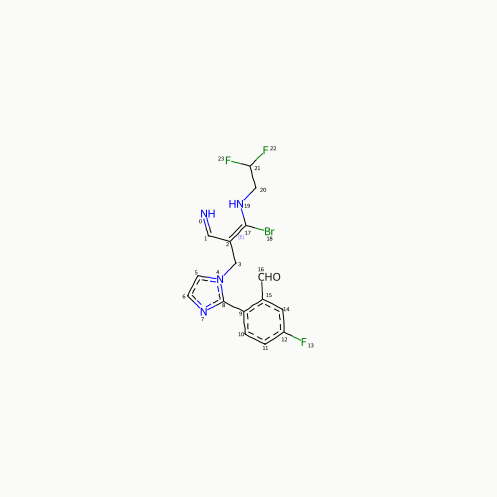 N=C/C(Cn1ccnc1-c1ccc(F)cc1C=O)=C(/Br)NCC(F)F